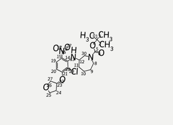 CC(C)(C)OC(=O)N1CCCCC(Nc2c([N+](=O)[O-])ccc(OC3CCOC3)c2Cl)C1